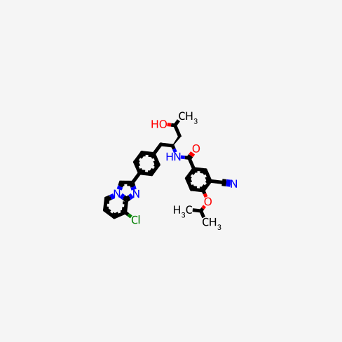 CC(O)C[C@H](Cc1ccc(-c2cn3cccc(Cl)c3n2)cc1)NC(=O)c1ccc(OC(C)C)c(C#N)c1